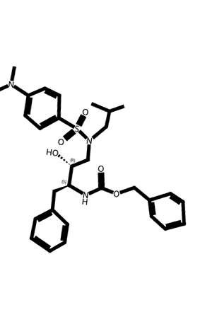 CC(C)CN(C[C@@H](O)[C@H](Cc1ccccc1)NC(=O)OCc1ccccc1)S(=O)(=O)c1ccc(N(C)C)cc1